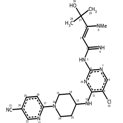 CN/C(=C\C(=N)Nc1ncc(Cl)c(NC2CCN(c3ccc(C#N)cn3)CC2)n1)C(C)(C)O